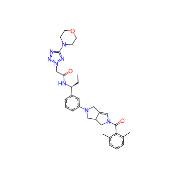 CC[C@H](NC(=O)Cn1nnc(N2CCOCC2)n1)c1cccc(N2CC3=CN(C(=O)c4c(C)cccc4C)CC3C2)c1